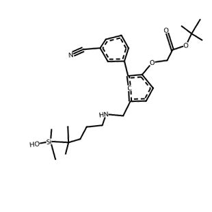 CC(C)(C)OC(=O)COc1ccc(CNCCCC(C)(C)[Si](C)(C)O)cc1-c1cccc(C#N)c1